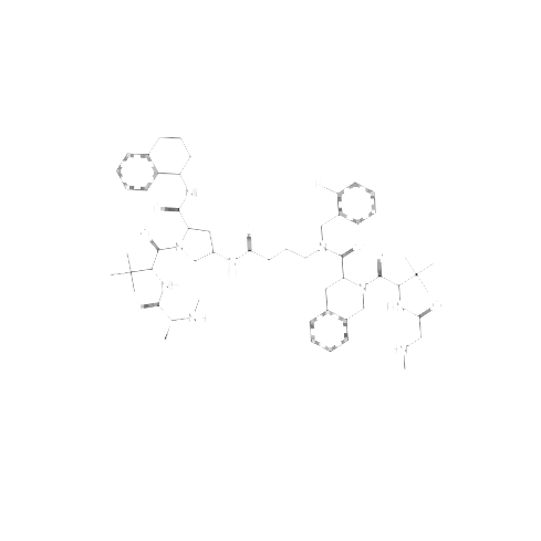 CN[C@@H](C)C(=O)NC(C(=O)N1CC(NC(=O)CCCN(C(=O)C2Cc3ccccc3CN2C(=O)C(NC(=O)[C@H](C)NC)C(C)(C)C)[C@H](C)c2ccccc2F)CC1C(=O)NC1CCCc2ccccc21)C(C)(C)C